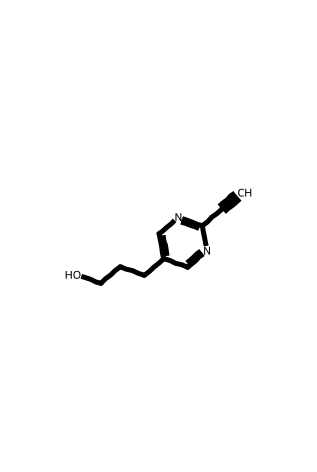 C#Cc1ncc(CCCO)cn1